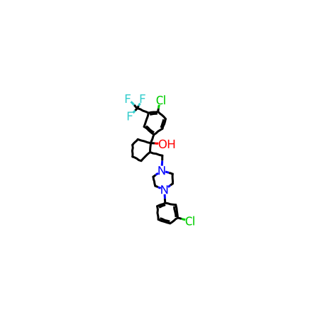 OC1(c2ccc(Cl)c(C(F)(F)F)c2)CCCCC1CN1CCN(c2cccc(Cl)c2)CC1